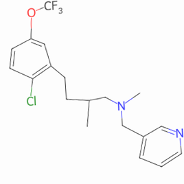 CC(CCc1cc(OC(F)(F)F)ccc1Cl)CN(C)Cc1cccnc1